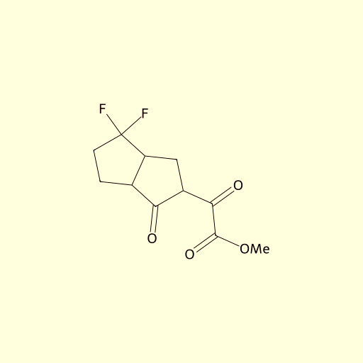 COC(=O)C(=O)C1CC2C(CCC2(F)F)C1=O